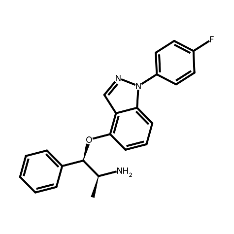 C[C@H](N)[C@H](Oc1cccc2c1cnn2-c1ccc(F)cc1)c1ccccc1